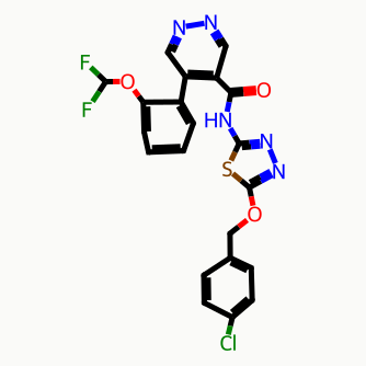 O=C(Nc1nnc(OCc2ccc(Cl)cc2)s1)c1cnncc1-c1ccccc1OC(F)F